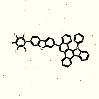 Fc1c(F)c(F)c(-c2ccc3c(c2)oc2cc(-c4cc5c6ccccc6c6c7ccccc7n(-c7ccccc7)c6c5c5ccccc45)ccc23)c(F)c1F